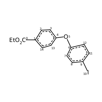 CCOC(=O)c1ccc(Oc2ccc(I)cc2)cc1